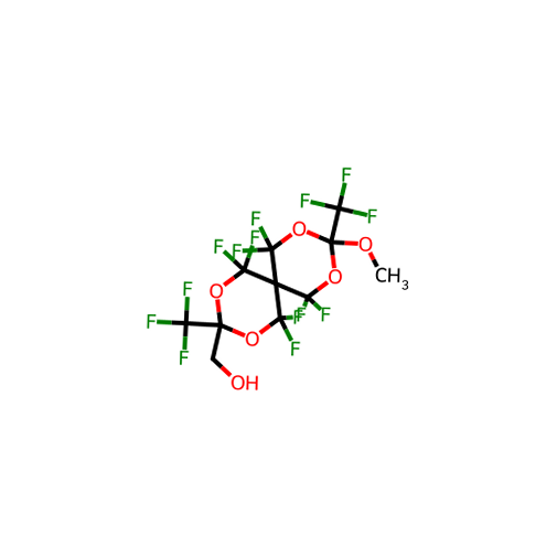 COC1(C(F)(F)F)OC(F)(F)C2(C(F)(F)OC(CO)(C(F)(F)F)OC2(F)F)C(F)(F)O1